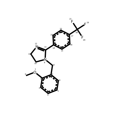 COc1ccccc1CN1CCN=C1c1ccc(C(F)(F)F)cc1